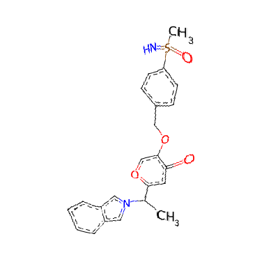 CC(c1cc(=O)c(OCc2ccc(S(C)(=N)=O)cc2)co1)n1cc2ccccc2c1